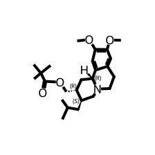 COc1cc2c(cc1OC)[C@H]1C[C@@H](COC(=O)C(C)(C)C)[C@H](CC(C)C)CN1CC2